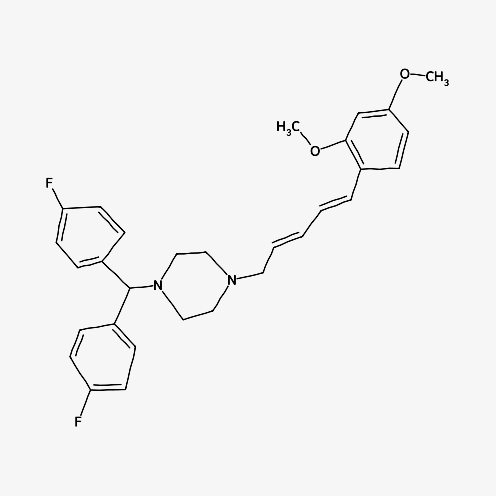 COc1ccc(C=CC=CCN2CCN(C(c3ccc(F)cc3)c3ccc(F)cc3)CC2)c(OC)c1